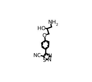 N#Cc1snnc1-c1ccc(OCC(O)CN)cc1